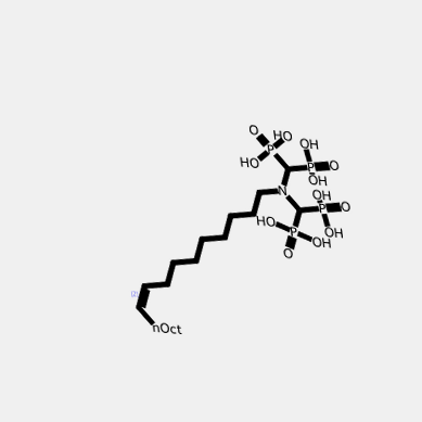 CCCCCCCC/C=C\CCCCCCCCN(C(P(=O)(O)O)P(=O)(O)O)C(P(=O)(O)O)P(=O)(O)O